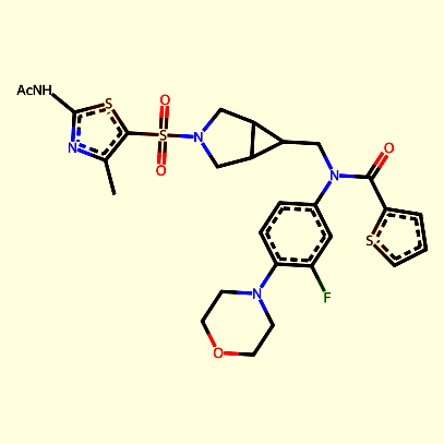 CC(=O)Nc1nc(C)c(S(=O)(=O)N2CC3C(CN(C(=O)c4cccs4)c4ccc(N5CCOCC5)c(F)c4)C3C2)s1